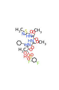 COC[C@H](NC(=O)c1cnc(C)s1)C(=O)N[C@@H](COC)C(=O)N[C@@H](CCc1ccccc1)C(=O)C(C)(O)COS(=O)(=O)c1ccc(F)cc1F